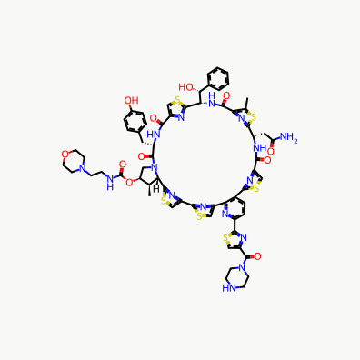 Cc1sc2nc1C(=O)N[C@@H]([C@H](O)c1ccccc1)c1nc(cs1)C(=O)N[C@@H](Cc1ccc(O)cc1)C(=O)N1C[C@H](OC(=O)NCCN3CCOCC3)[C@H](C)[C@H]1c1nc(cs1)-c1nc(cs1)-c1nc(-c3nc(C(=O)N4CCNCC4)cs3)ccc1-c1nc(cs1)C(=O)N[C@H]2CC(N)=O